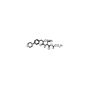 CC(=O)O[C@H](Cc1ccc(N2CCOCC2)cc1)C(=O)N(C)[C@@H](CC(C)C)C(=O)O[C@H](C)C(=O)O